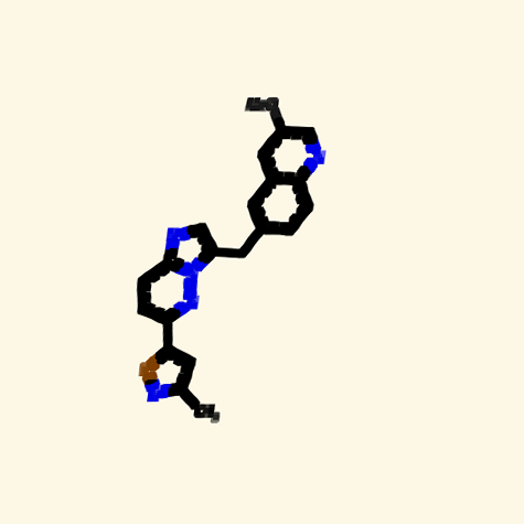 COc1cnc2ccc(Cc3cnc4ccc(-c5cc(C)ns5)nn34)cc2c1